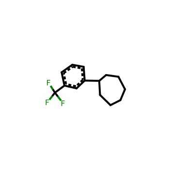 FC(F)(F)c1cccc(C2CCCCCC2)c1